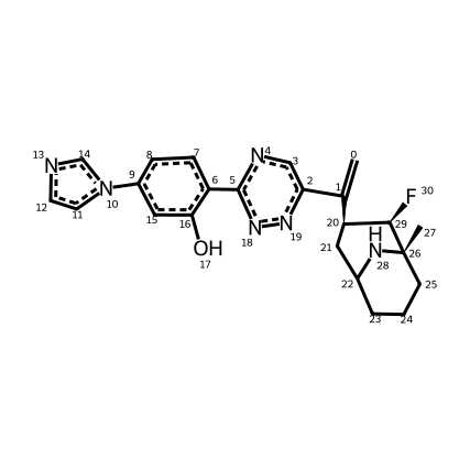 C=C(c1cnc(-c2ccc(-n3ccnc3)cc2O)nn1)[C@@H]1CC2CCC[C@](C)(N2)[C@@H]1F